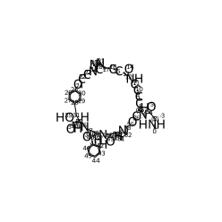 CN[C@@H](C)C(=O)N[C@H]1CCCCNC(=O)CCc2cn(nn2)CCOc2ccc(cc2)C[C@H](C(=O)O)NC(=O)[C@H](Cc2ccccc2)NC(=O)[C@@H]2CCC(=N2)OC1